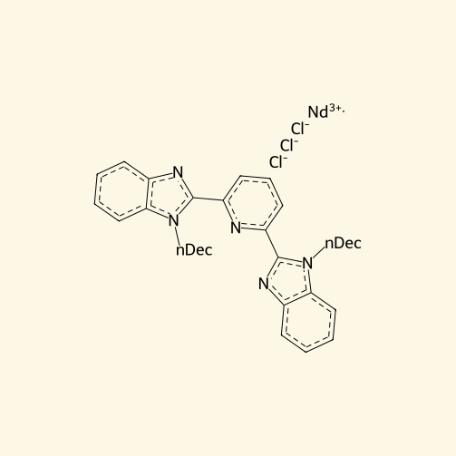 CCCCCCCCCCn1c(-c2cccc(-c3nc4ccccc4n3CCCCCCCCCC)n2)nc2ccccc21.[Cl-].[Cl-].[Cl-].[Nd+3]